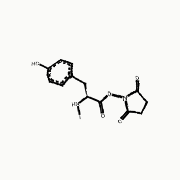 O=C(ON1C(=O)CCC1=O)[C@H](Cc1ccc(O)cc1)NI